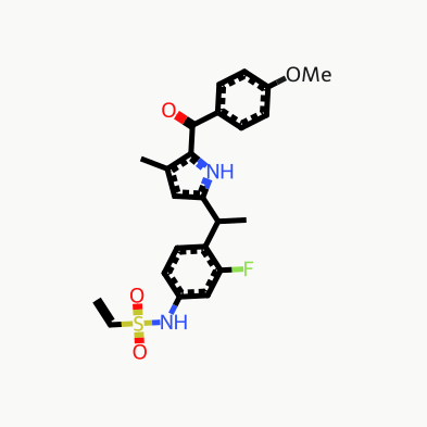 C=CS(=O)(=O)Nc1ccc(C(C)c2cc(C)c(C(=O)c3ccc(OC)cc3)[nH]2)c(F)c1